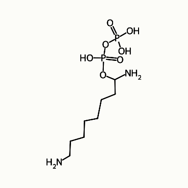 NCCCCCCCC(N)OP(=O)(O)OP(=O)(O)O